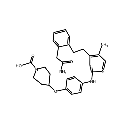 Cc1cnc(Nc2ccc(OC3CCN(C(=O)O)CC3)cc2)nc1CCc1ccccc1CC(N)=O